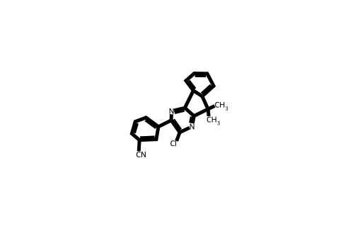 CC1(C)c2ccccc2-c2nc(-c3cccc(C#N)c3)c(Cl)nc21